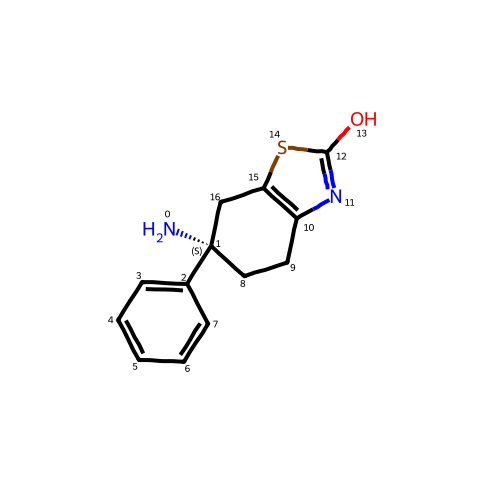 N[C@@]1(c2ccccc2)CCc2nc(O)sc2C1